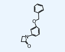 O=C1CCN1c1cccc(OCc2ccccc2)c1